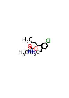 C=CCC(OC(=O)NC)c1cc(Cl)ccc1C=C